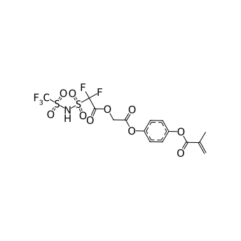 C=C(C)C(=O)Oc1ccc(OC(=O)COC(=O)C(F)(F)S(=O)(=O)NS(=O)(=O)C(F)(F)F)cc1